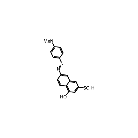 CNc1ccc(N=Nc2ccc3c(O)cc(S(=O)(=O)O)cc3c2)cc1